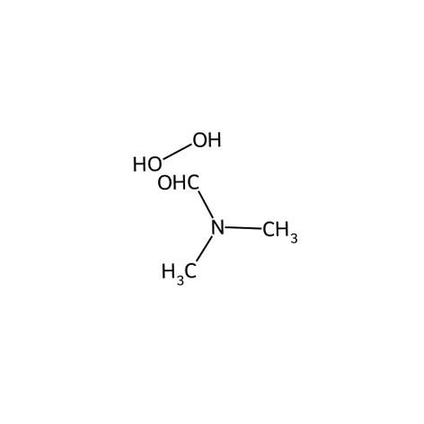 CN(C)C=O.OO